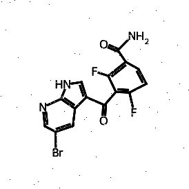 NC(=O)c1ccc(F)c(C(=O)c2c[nH]c3ncc(Br)cc23)c1F